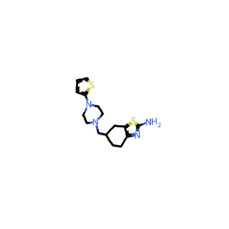 Nc1nc2c(s1)CC(CN1CCN(c3cccs3)CC1)CC2